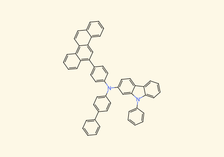 c1ccc(-c2ccc(N(c3ccc(-c4cc5c6ccccc6ccc5c5ccccc45)cc3)c3ccc4c5ccccc5n(-c5ccccc5)c4c3)cc2)cc1